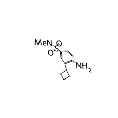 CNS(=O)(=O)c1ccc(N)c(C2CCC2)c1